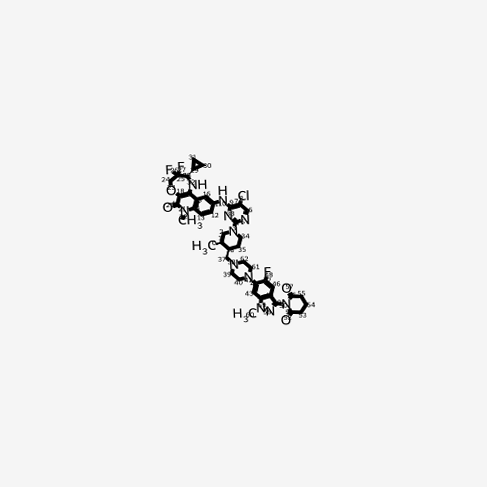 C[C@H]1CN(c2ncc(Cl)c(Nc3ccc4c(c3)c3c(c(=O)n4C)OCC(F)(F)[C@H](C4CC4)N3)n2)CC[C@H]1CN1CCN(c2cc3c(cc2F)c(N2C(=O)CCCC2=O)nn3C)CC1